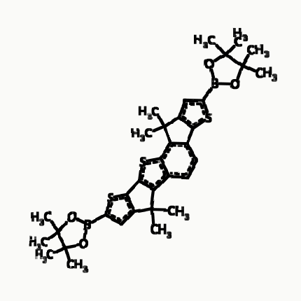 CC1(C)c2cc(B3OC(C)(C)C(C)(C)O3)sc2-c2sc3c4c(ccc3c21)-c1sc(B2OC(C)(C)C(C)(C)O2)cc1C4(C)C